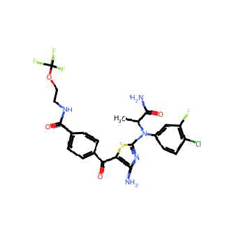 CC(C(N)=O)N(c1ccc(Cl)c(F)c1)c1nc(N)c(C(=O)c2ccc(C(=O)NCCOC(F)(F)F)cc2)s1